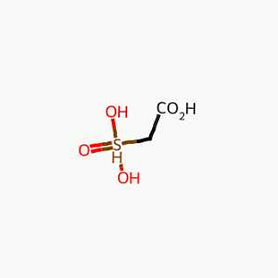 O=C(O)C[SH](=O)(O)O